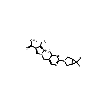 COC(=O)c1cn(CC2=CN=C(N3CC4C(C3)C4(F)F)NC2C)nc1C